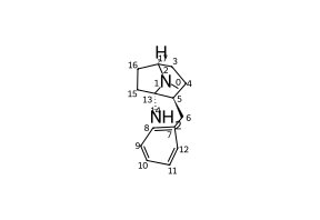 CN1[C@@H]2CC[C@@H](Cc3ccccc3)[C@@]1(N)CC2